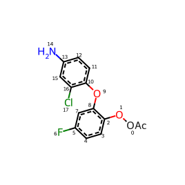 CC(=O)OOc1ccc(F)cc1Oc1ccc(N)cc1Cl